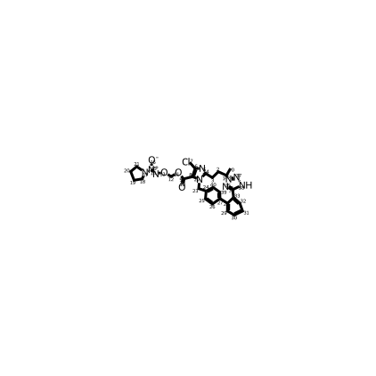 CCCCc1nc(Cl)c(C(=O)OCO/N=[N+](\[O-])N2CCCC2)n1Cc1ccc(-c2ccccc2-c2nnn[nH]2)cc1